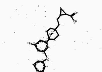 O=C(O)C1CC1CCC12CCC(c3cc(F)cc(Oc4ccccc4)c3)(CC1)OC2